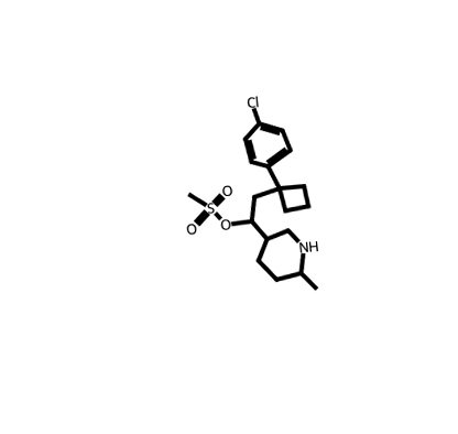 CC1CCC(C(CC2(c3ccc(Cl)cc3)CCC2)OS(C)(=O)=O)CN1